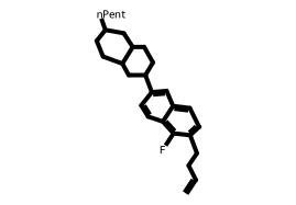 C=CCCc1ccc2cc(C3CCC4CC(CCCCC)CCC4C3)ccc2c1F